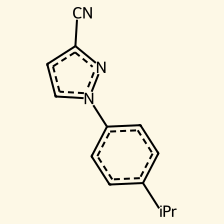 CC(C)c1ccc(-n2ccc(C#N)n2)cc1